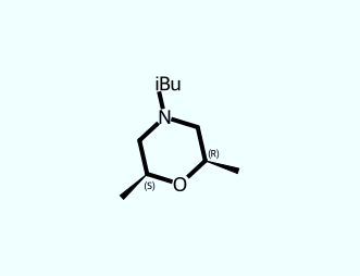 CCC(C)N1C[C@@H](C)O[C@@H](C)C1